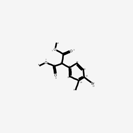 COC(=O)C(C(=O)OC)c1ccc(Br)c(C)c1